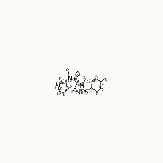 CC1=CCC(Sc2ncc(C(=O)N(C)c3cccnc3)n2C)C=C1